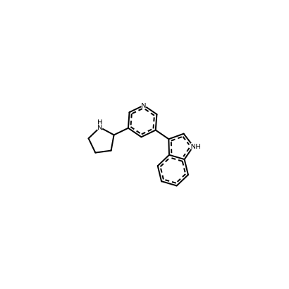 c1ccc2c(-c3cncc(C4CCCN4)c3)c[nH]c2c1